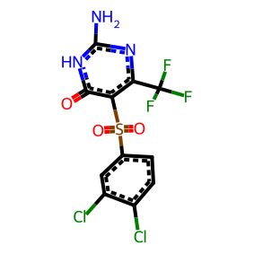 Nc1nc(C(F)(F)F)c(S(=O)(=O)c2ccc(Cl)c(Cl)c2)c(=O)[nH]1